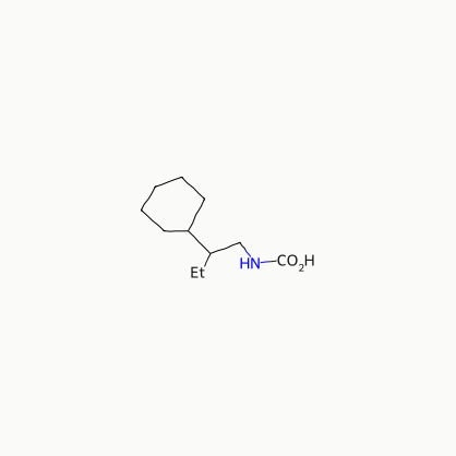 CCC(CNC(=O)O)C1CCCCC1